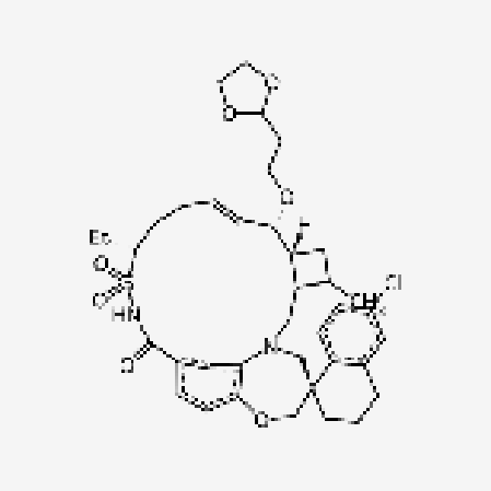 CC[C@@H]1CC/C=C/[C@H](OCCC2OCCO2)[C@@H]2CC(C)C2CN2C[C@@]3(CCCc4cc(Cl)ccc43)COc3ccc(cc32)C(=O)NS1(=O)=O